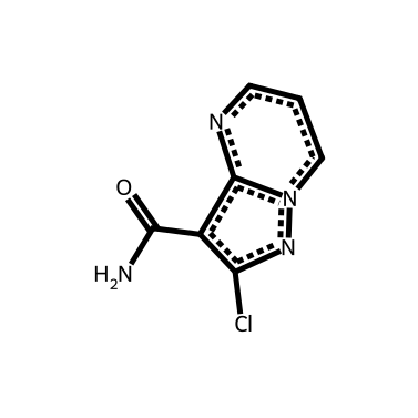 NC(=O)c1c(Cl)nn2cccnc12